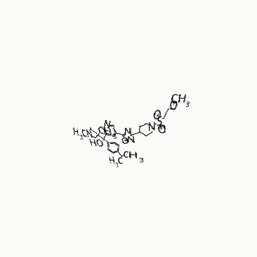 COCCS(=O)(=O)N1CCC(c2noc(-c3cncc([C@@](O)(c4ccc(C(C)C)cc4)C4(C)CN(C)C4)c3)n2)CC1